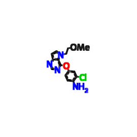 COCCn1ccc2ncnc(Oc3ccc(N)c(Cl)c3)c21